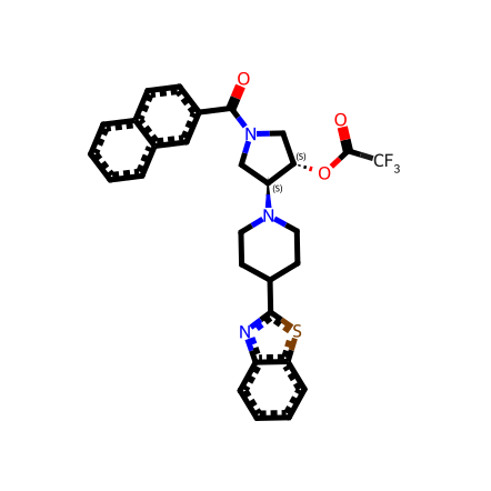 O=C(c1ccc2ccccc2c1)N1C[C@H](OC(=O)C(F)(F)F)[C@@H](N2CCC(c3nc4ccccc4s3)CC2)C1